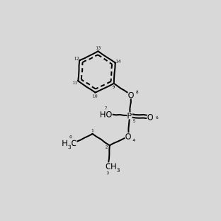 CCC(C)OP(=O)(O)Oc1ccccc1